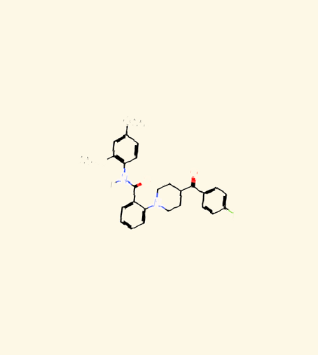 CCN(C(=O)c1ccccc1N1CCC(C(=O)c2ccc(F)cc2)CC1)c1ccc(OC)cc1OC